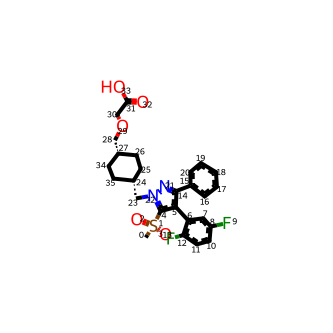 CS(=O)(=O)c1c(-c2cc(F)ccc2F)c(-c2ccccc2)nn1C[C@H]1CC[C@@H](COCC(=O)O)CC1